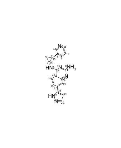 Nc1nc(N[C@@H]2C[C@H]2c2cccnc2)c2ccc(-c3ccn[nH]3)cc2n1